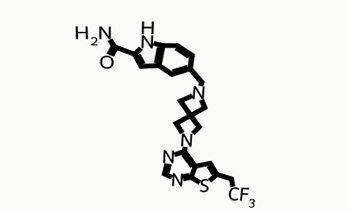 NC(=O)c1cc2cc(CN3CC4(C3)CN(c3ncnc5sc(CC(F)(F)F)cc35)C4)ccc2[nH]1